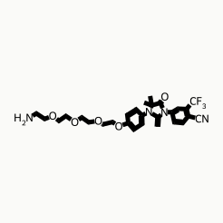 C=C1N(c2ccc(C#N)c(C(F)(F)F)c2)C(=O)C(C)(C)N1c1ccc(OCCOCCOCCOCCN)cc1